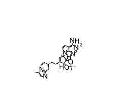 Cc1cnc2cc(CCC3=C[C@@H](n4ccc5c(N)ncnc54)[C@@H]4OC(C)(C)O[C@H]34)ccn12